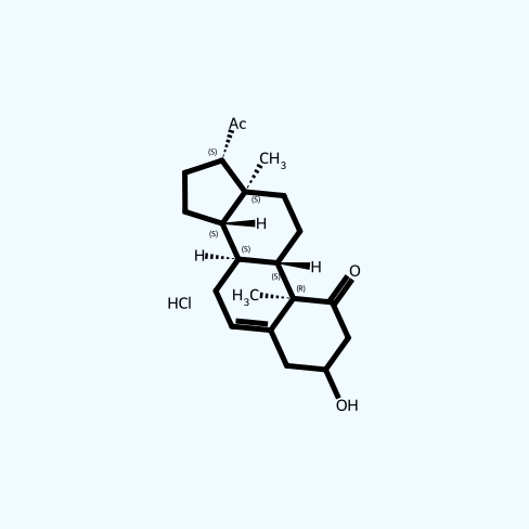 CC(=O)[C@H]1CC[C@H]2[C@@H]3CC=C4CC(O)CC(=O)[C@]4(C)[C@H]3CC[C@]12C.Cl